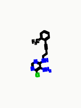 Nc1c(Cl)ncnc1NCCC#Cc1ccccc1C(F)(F)F